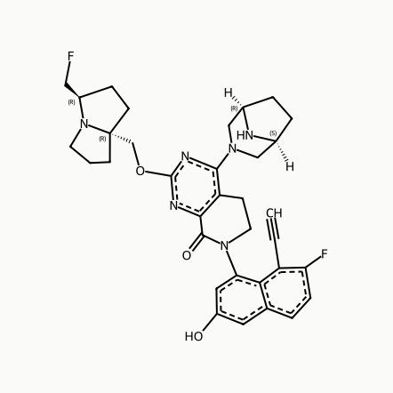 C#Cc1c(F)ccc2cc(O)cc(N3CCc4c(nc(OC[C@]56CCCN5[C@@H](CF)CC6)nc4N4C[C@H]5CC[C@@H](C4)N5)C3=O)c12